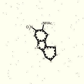 CC(=O)Nc1cc2c(cc1[N+](=O)[O-])sc1ccccc12